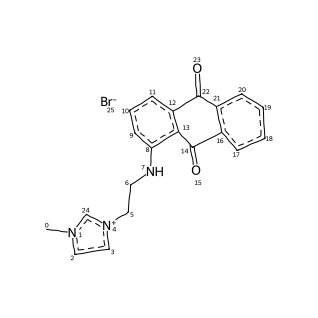 Cn1cc[n+](CCNc2cccc3c2C(=O)c2ccccc2C3=O)c1.[Br-]